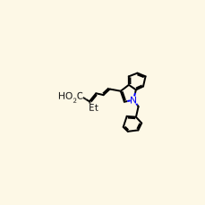 CC/C(=C\C=C\c1cn(Cc2ccccc2)c2ccccc12)C(=O)O